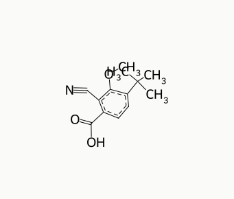 COc1c(C(C)(C)C)ccc(C(=O)O)c1C#N